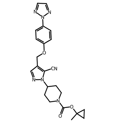 CC1(OC(=O)N2CCC(n3ncc(COc4ccc(-n5nccn5)cc4)c3C#N)CC2)CC1